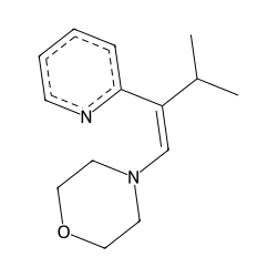 CC(C)/C(=C/N1CCOCC1)c1ccccn1